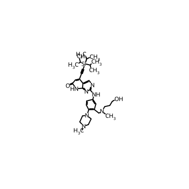 CC(C)[Si](C#Cc1cc(=O)[nH]c2nc(Nc3ccc(N4CCN(C)CC4)c(CN(C)CCCO)c3)ncc12)(C(C)C)C(C)C